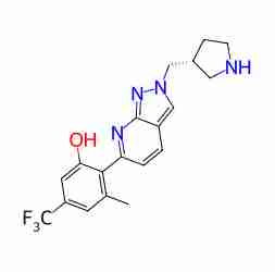 Cc1cc(C(F)(F)F)cc(O)c1-c1ccc2cn(C[C@@H]3CCNC3)nc2n1